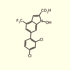 O=C(O)c1cc2c(C(F)(F)F)cc(-c3ccc(Cl)cc3Cl)cc2n1O